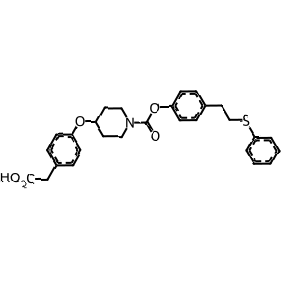 O=C(O)Cc1ccc(OC2CCN(C(=O)Oc3ccc(CCSc4ccccc4)cc3)CC2)cc1